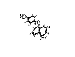 Oc1ccc(Oc2cccc3c(O)cccc23)cc1